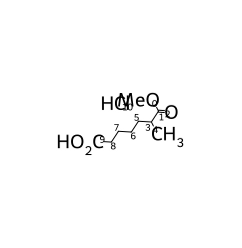 COC(=O)C(C)CCCCC(=O)O.Cl